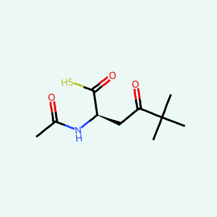 CC(=O)N[C@H](CC(=O)C(C)(C)C)C(=O)S